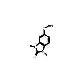 CCCOc1ccc2c(c1)n(C)c(=O)n2C